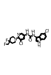 O=C(Nc1cnc(N2CCC(F)(CF)CC2)c(Cl)c1)Nc1c[nH]c2ccc(Cl)cc12